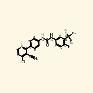 N#Cc1c(Cl)ccnc1-c1ccc(NC(=O)Nc2ccc(F)c(C(F)(F)F)c2)cc1